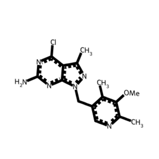 COc1c(C)ncc(Cn2nc(C)c3c(Cl)nc(N)nc32)c1C